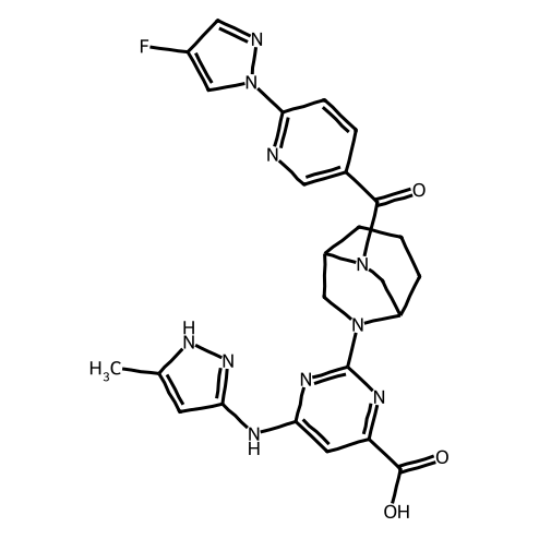 Cc1cc(Nc2cc(C(=O)O)nc(N3CC4CCCC3CN4C(=O)c3ccc(-n4cc(F)cn4)nc3)n2)n[nH]1